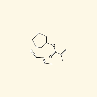 C=C(C)C(=O)OC1CCCCC1.CC=CC=O